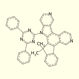 CC1(C)c2ccccc2-c2c1c1c(c3ccncc23)c2cnccc2n1-c1nc(-c2ccccc2)nc(-c2ccccc2)n1